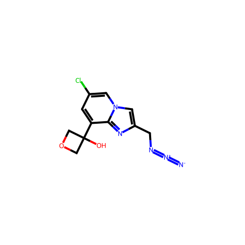 [N-]=[N+]=NCc1cn2cc(Cl)cc(C3(O)COC3)c2n1